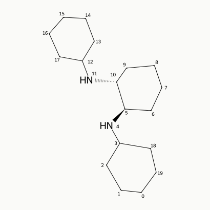 C1CCC(N[C@@H]2CCCC[C@H]2NC2CCCCC2)CC1